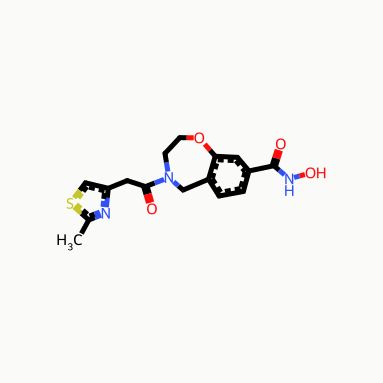 Cc1nc(CC(=O)N2CCOc3cc(C(=O)NO)ccc3C2)cs1